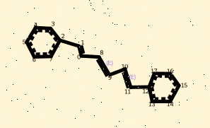 C(=Cc1ccccc1)/C=C/C=C/c1ccccc1